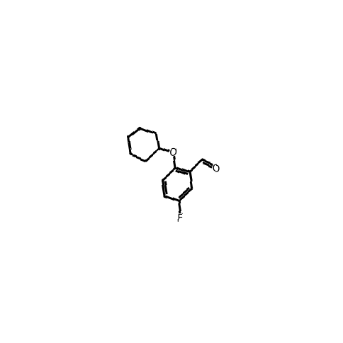 O=Cc1cc(F)ccc1OC1CCCCC1